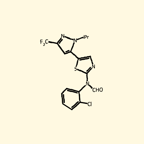 CC(C)n1nc(C(F)(F)F)cc1-c1cnc(N(C=O)c2ccccc2Cl)s1